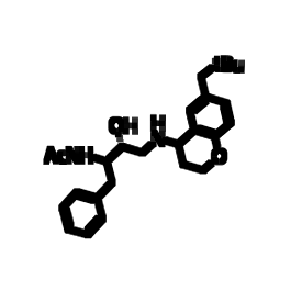 CC(=O)NC(Cc1ccccc1)[C@H](O)CNC1CCOc2ccc(CC(C)(C)C)cc21